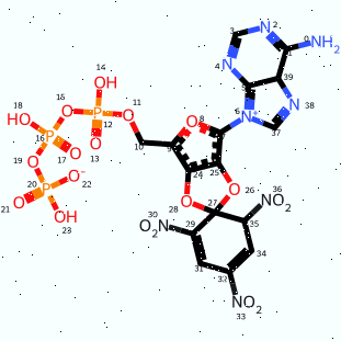 NC1=NC=NC2=[N+](c3oc(COP(=O)(O)OP(=O)(O)OP(=O)([O-])O)c4c3OC3(O4)C([N+](=O)[O-])=CC([N+](=O)[O-])=CC3[N+](=O)[O-])C=NC12